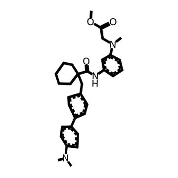 COC(=O)CN(C)c1cccc(NC(=O)C2(Cc3ccc(-c4ccc(N(C)C)cc4)cc3)CCCCC2)c1